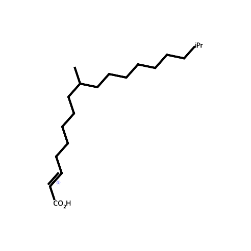 CC(C)CCCCCCCC(C)CCCCC/C=C/C(=O)O